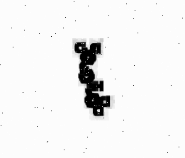 Clc1ccc(CNC2CCN(Cc3ccc(Cl)c(Cl)c3)CC2)cc1Cl